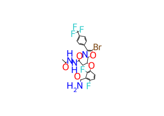 CC(=O)NNC(=O)CC(Oc1ccc(F)c(C(N)=O)c1F)c1nc(-c2ccc(C(F)(F)F)cc2)c(Br)o1